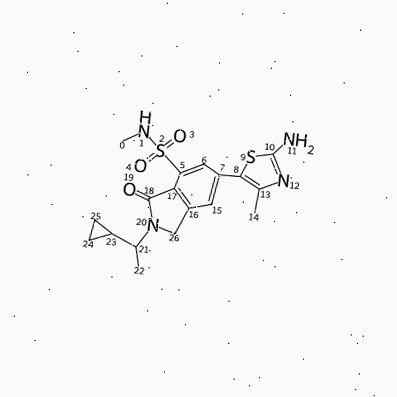 CNS(=O)(=O)c1cc(-c2sc(N)nc2C)cc2c1C(=O)N(C(C)C1CC1)C2